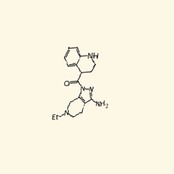 CCN1CCc2c(N)nn(C(=O)C3CCNc4ccccc43)c2C1